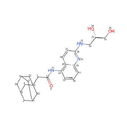 O=C(CC12CC3CC(CC(C3)C1)C2)Nc1cccc2nc(NC[C@H](O)CO)ccc12